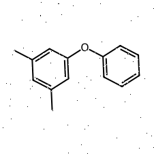 Cc1[c]c(C)cc(Oc2ccccc2)c1